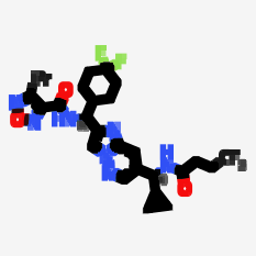 CC(C)c1nonc1C(=O)N[C@H](c1cn2ncc([C@H](NC(=O)CCC(F)(F)F)C3CC3)cc2n1)C1CCC(F)(F)CC1